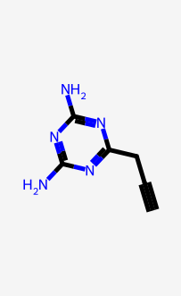 C#CCc1nc(N)nc(N)n1